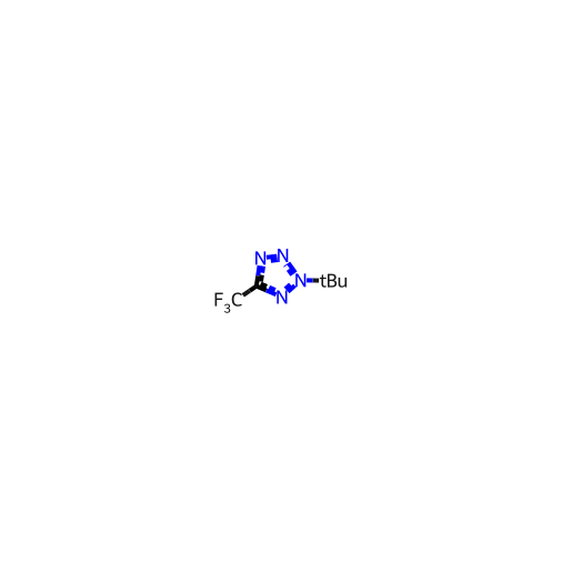 CC(C)(C)n1nnc(C(F)(F)F)n1